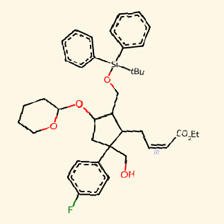 CCOC(=O)/C=C\CC1C(CO[Si](c2ccccc2)(c2ccccc2)C(C)(C)C)C(OC2CCCCO2)CC1(CO)c1ccc(F)cc1